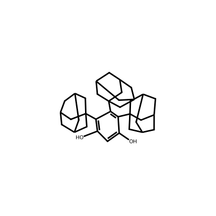 Oc1cc(O)c(C23CC4CC(CC(C4)C2)C3)c(C23CC4CC(CC(C4)C2)C3)c1C12CC3CC(CC(C3)C1)C2